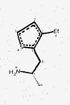 CCc1ccsc1C[C@H](C)N